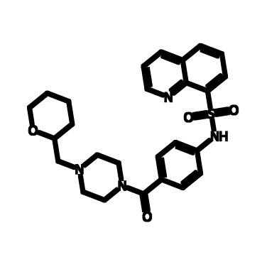 O=C(c1ccc(NS(=O)(=O)c2cccc3cccnc23)cc1)N1CCN(CC2CCCCO2)CC1